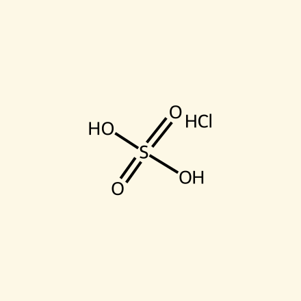 Cl.O=S(=O)(O)O